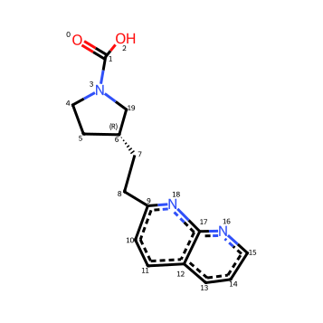 O=C(O)N1CC[C@@H](CCc2ccc3cccnc3n2)C1